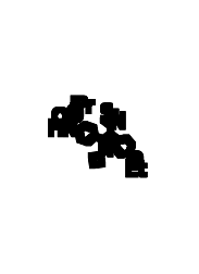 CCOC1C=c2c(c(-c3cscn3)c(-c3ccc(NC(=O)OC(C)C)cc3)n2C2CCC2)=CC1